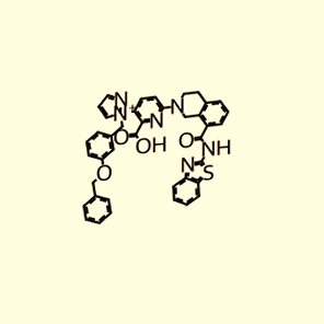 O=C(Nc1nc2ccccc2s1)c1cccc2c1CN(c1ccc([N+]3(Cc4cccc(OCc5ccccc5)c4)C=CC=N3)c(C(=O)O)n1)CC2